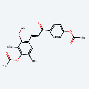 CCCOc1c(C=CC(=O)c2ccc(OC(=O)C(C)(C)C)cc2)cc(C(C)(C)C)c(OC(=O)C(C)(C)C)c1C(C)(C)C